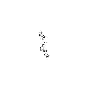 Cc1cc(-c2ccnc(NCC3CCS(=O)(=O)CC3)n2)ccc1CNC(=O)c1cnc(C(C)(C)C)s1